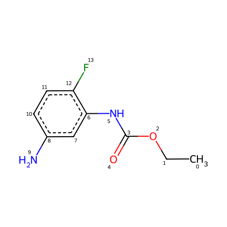 CCOC(=O)Nc1cc(N)ccc1F